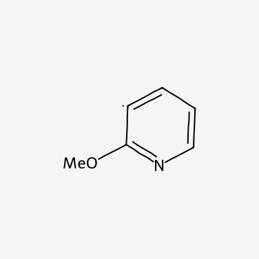 COc1[c]cccn1